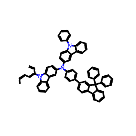 C=C/C(=C\C=C/C)n1c2ccccc2c2cc(N(c3ccc(-c4ccc5c(c4)C(c4ccccc4)(c4ccccc4)c4ccccc4-5)cc3)c3ccc4c(c3)c3ccccc3n4-c3ccccc3)ccc21